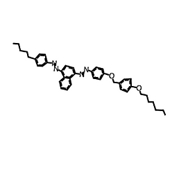 CCCCCCCOc1ccc(COc2ccc(/N=N/c3ccc(/N=N/c4ccc(CCCCC)cc4)c4ccccc34)cc2)cc1